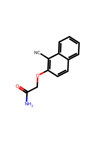 N#Cc1c(OCC(N)=O)ccc2ccccc12